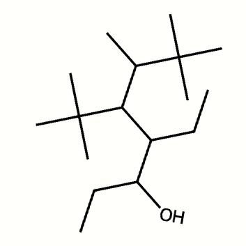 CCC(O)C(CC)C(C(C)C(C)(C)C)C(C)(C)C